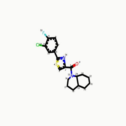 O=C(c1csc(-c2ccc(F)c(Cl)c2)n1)N1CCCC2CCCCC21